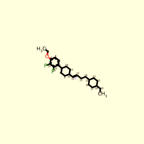 CCOc1ccc(C2CCC(/C=C/CCC3CCC(CC)CC3)CC2)c(F)c1F